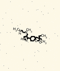 CCC1(CC)CC2(CCC(c3n[nH]cc3CN(C)CCNC)CC2)OC1=O